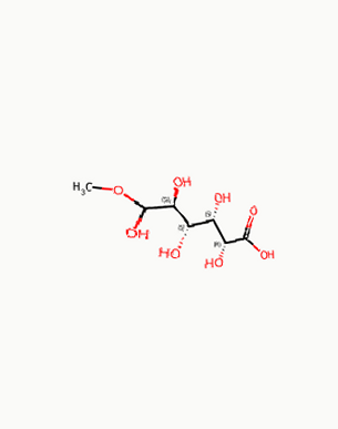 COC(O)[C@@H](O)[C@@H](O)[C@H](O)[C@@H](O)C(=O)O